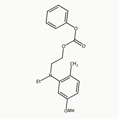 CCN(CCOC(=O)Oc1ccccc1)c1cc(OC)ccc1C